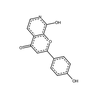 O=c1cc(-c2ccc(O)cc2)oc2c(O)nccc12